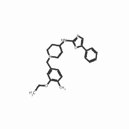 CCOc1cc(CN2CCC(Nc3ncc(-c4ccccc4)o3)CC2)ccc1C